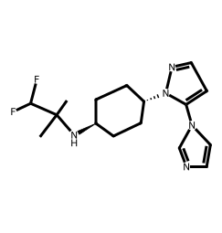 CC(C)(N[C@H]1CC[C@H](n2nccc2-n2ccnc2)CC1)C(F)F